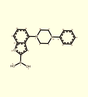 OB(O)c1cc2c(N3CCN(c4ccccc4)CC3)cccc2o1